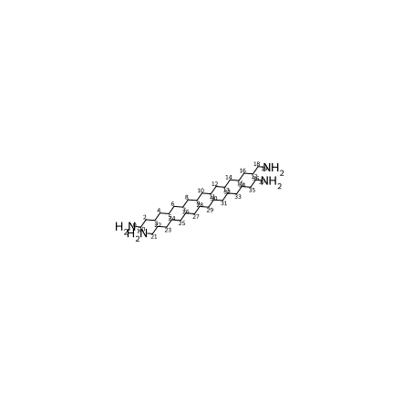 NCCCCCCCCCCCCCCCCCCN.NCCCCCCCCCCCCCCCCN